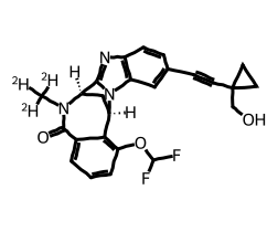 [2H]C([2H])([2H])N1C(=O)c2cccc(OC(F)F)c2[C@H]2C[C@@H]1c1nc3ccc(C#CC4(CO)CC4)cc3n12